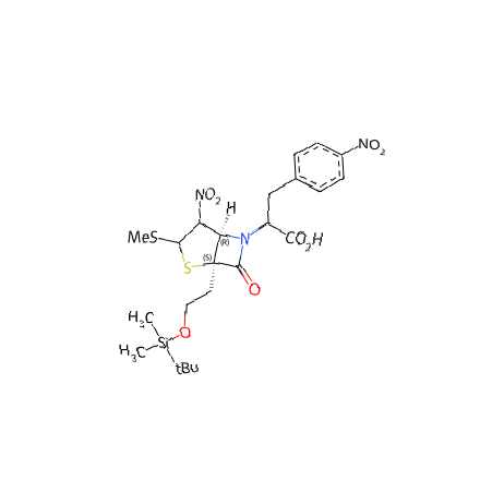 CSC1S[C@]2(CCO[Si](C)(C)C(C)(C)C)C(=O)N(C(Cc3ccc([N+](=O)[O-])cc3)C(=O)O)[C@@H]2C1[N+](=O)[O-]